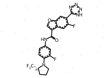 O=C(Nc1ccc(N2CCC[C@@H]2C(F)(F)F)c(F)c1)c1coc2cc(-c3nnn[nH]3)c(F)cc12